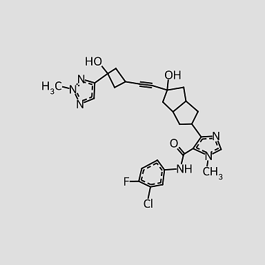 Cn1ncc(C2(O)CC(C#CC3(O)CC4CC(c5ncn(C)c5C(=O)Nc5ccc(F)c(Cl)c5)CC4C3)C2)n1